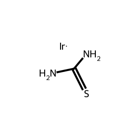 NC(N)=S.[Ir]